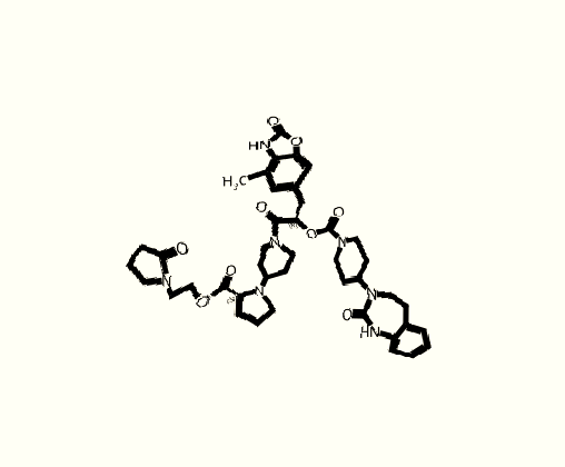 Cc1cc(C[C@@H](OC(=O)N2CCC(N3CCc4ccccc4NC3=O)CC2)C(=O)N2CCC(N3CCC[C@H]3C(=O)OCCN3CCCC3=O)CC2)cc2oc(=O)[nH]c12